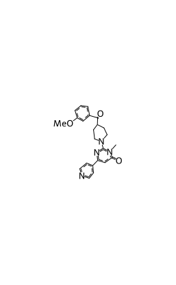 COc1cccc(C(=O)C2CCN(c3nc(-c4ccncc4)cc(=O)n3C)CC2)c1